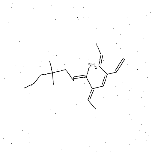 C=CC(=C/C(=C\C)C(/N)=N/CC(C)(C)CCC)/C=C/C